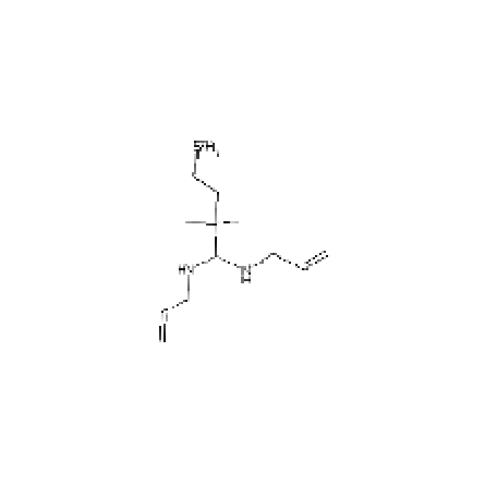 C=CCNC(NCC=C)C(C)(C)CC[SiH3]